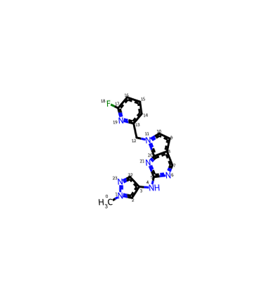 Cn1cc(Nc2ncc3ccn(Cc4cccc(F)n4)c3n2)cn1